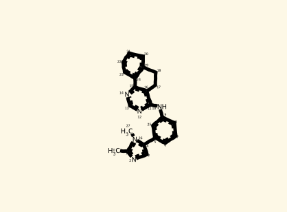 Cc1ncc(-c2cccc(Nc3ncnc4c3CCc3ccccc3-4)c2)n1C